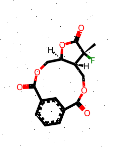 C[C@]1(F)C(=O)O[C@@H]2COC(=O)c3cccc(c3)C(=O)OC[C@H]21